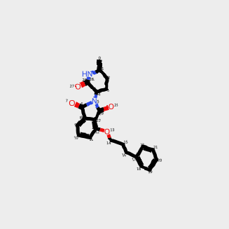 C=C1CCC(N2C(=O)c3cccc(OCCCc4ccccc4)c3C2=O)C(=O)N1